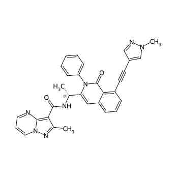 Cc1nn2cccnc2c1C(=O)N[C@H](C)c1cc2cccc(C#Cc3cnn(C)c3)c2c(=O)n1-c1ccccc1